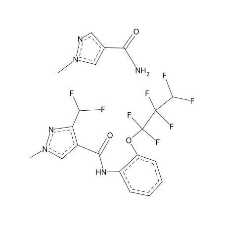 Cn1cc(C(=O)Nc2ccccc2OC(F)(F)C(F)(F)C(F)F)c(C(F)F)n1.Cn1cc(C(N)=O)cn1